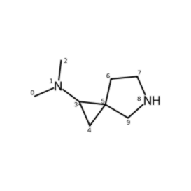 CN(C)[C]1CC12CCNC2